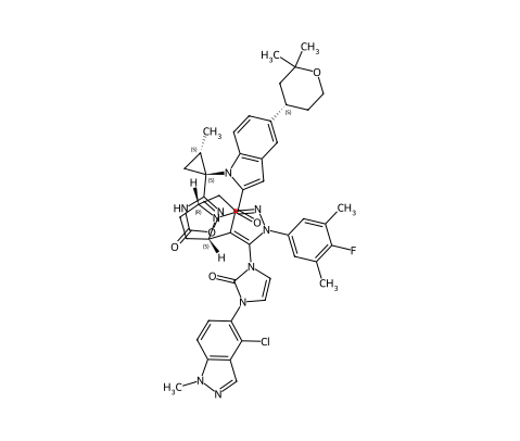 Cc1cc(-n2nc3c(c2-n2ccn(-c4ccc5c(cnn5C)c4Cl)c2=O)[C@@H]2CC[C@H](C3)N2C(=O)c2cc3cc([C@H]4CCOC(C)(C)C4)ccc3n2[C@@]2(c3noc(=O)[nH]3)C[C@@H]2C)cc(C)c1F